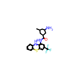 CC1CC(N)CC(C(=O)Nc2cc(C(F)(F)F)cc3c2Nc2ccccc2S3)C1